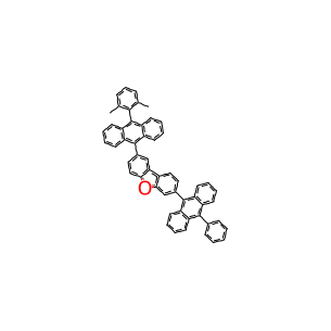 Cc1cccc(C)c1-c1c2ccccc2c(-c2ccc3oc4cc(-c5c6ccccc6c(-c6ccccc6)c6ccccc56)ccc4c3c2)c2ccccc12